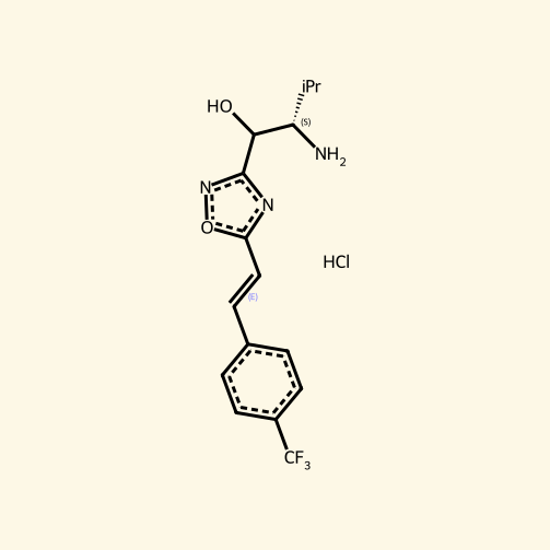 CC(C)[C@H](N)C(O)c1noc(/C=C/c2ccc(C(F)(F)F)cc2)n1.Cl